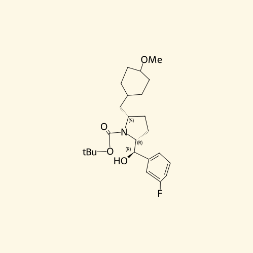 COC1CCC(C[C@@H]2CC[C@H]([C@H](O)c3cccc(F)c3)N2C(=O)OC(C)(C)C)CC1